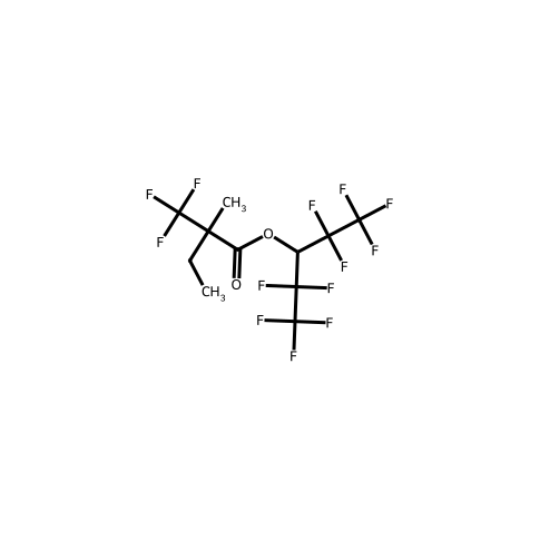 CCC(C)(C(=O)OC(C(F)(F)C(F)(F)F)C(F)(F)C(F)(F)F)C(F)(F)F